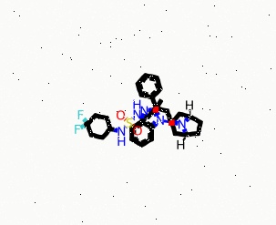 Cc1nc2ccccc2n1[C@H]1C[C@H]2CC[C@@H](C1)N2CCC(CNS(=O)(=O)NC1CCC(F)(F)CC1)c1ccccc1